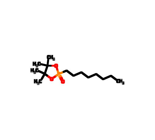 CCCCCCCCP1(=O)OC(C)(C)C(C)(C)O1